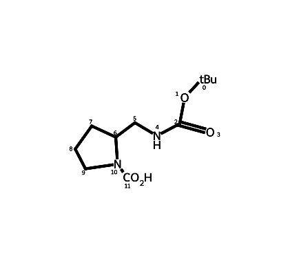 CC(C)(C)OC(=O)NCC1CCCN1C(=O)O